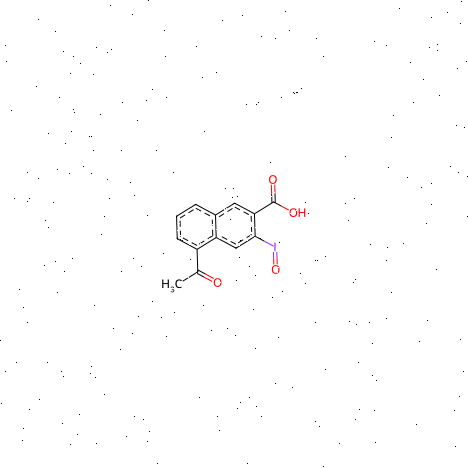 CC(=O)c1cccc2cc(C(=O)O)c(I=O)cc12